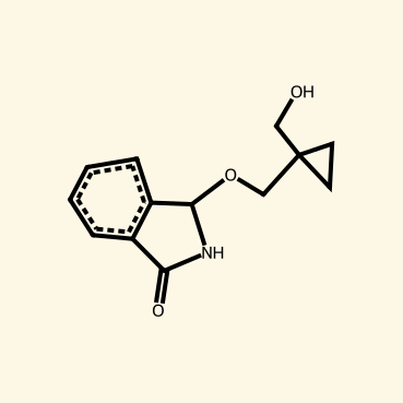 O=C1NC(OCC2(CO)CC2)c2ccccc21